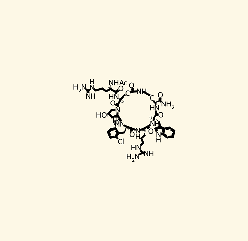 CC(=O)N[C@@H](CCCNC(=N)N)C(=O)N[C@H]1CCC(=O)NCCC[C@@H](C(N)=O)NC(=O)[C@H](Cc2c[nH]c3ccccc23)NC(=O)[C@H](CCCNC(=N)N)NC(=O)[C@@H](Cc2ccccc2Cl)NC(=O)[C@@H]2C[C@@H](O)CN2C1=O